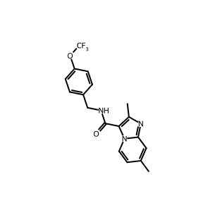 Cc1ccn2c(C(=O)NCc3ccc(OC(F)(F)F)cc3)c(C)nc2c1